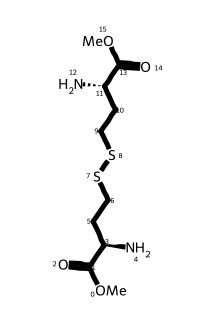 COC(=O)[C@H](N)CCSSCC[C@H](N)C(=O)OC